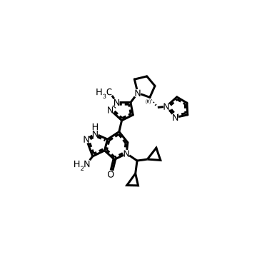 Cn1nc(-c2cn(C(C3CC3)C3CC3)c(=O)c3c(N)n[nH]c23)cc1N1CCC[C@@H]1Cn1cccn1